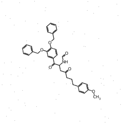 COc1ccc(CCCC(=O)CC(NC=O)C(=O)c2ccc(OCc3ccccc3)c(OCc3ccccc3)c2)cc1